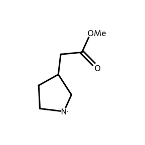 COC(=O)CC1CC[N]C1